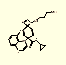 COCCCNN1N=NC12C=CC(C(=O)NC1CC1)(N1C=CNc3cccc(F)c31)C=C2